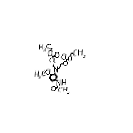 CCOC(=O)OCCN(CCOC(=O)OCC)c1cc(NC(C)=O)ccc1OC